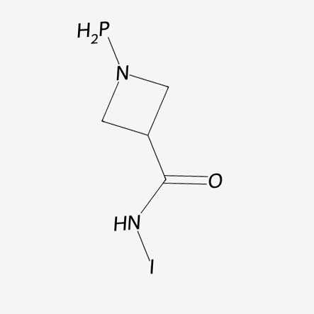 O=C(NI)C1CN(P)C1